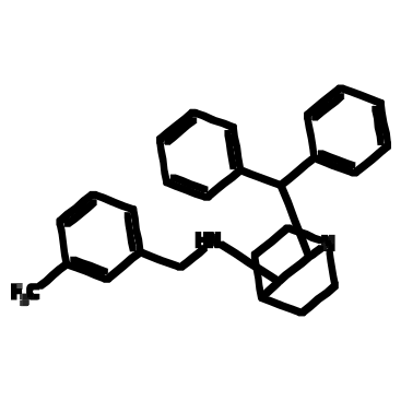 FC(F)(F)c1cccc(CNC2C3CCN(CC3)C2C(c2ccccc2)c2ccccc2)c1